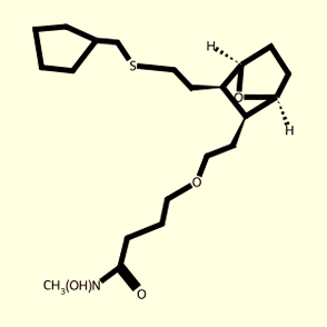 CN(O)C(=O)CCCOCC[C@H]1[C@@H](CCSCC2CCCC2)[C@H]2CC[C@@H]1O2